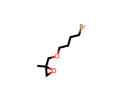 CC1(COCCCCBr)CO1